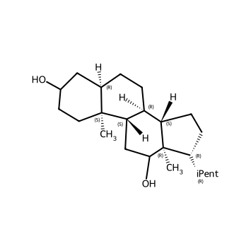 CCC[C@@H](C)[C@H]1CC[C@H]2[C@@H]3CC[C@@H]4CC(O)CC[C@]4(C)[C@H]3CC(O)[C@]12C